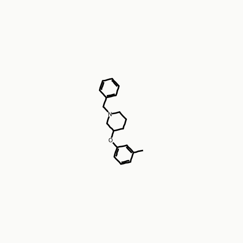 Cc1cccc(OC2CCCN(Cc3ccccc3)C2)c1